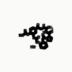 Br.CC(NCC(=O)c1ccc(OC(=O)C(C)(C)C)c(OC(=O)C(C)(C)C)c1)NC(=O)C1CCCN1C(=O)Cc1ccccc1